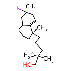 CC(C)(CO)CCC[C@]1(C)CCCC2C[C@@](C)(I)CC=C21